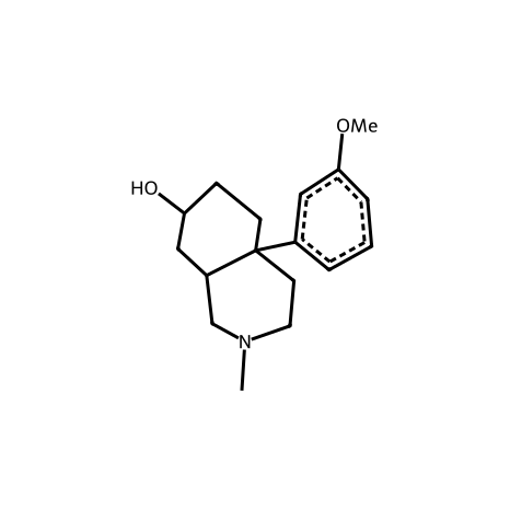 COc1cccc(C23CCC(O)CC2CN(C)CC3)c1